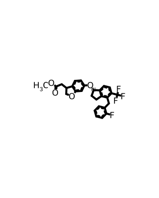 COC(=O)CC1COc2cc(O[C@@H]3CCc4c3ccc(C(F)(F)F)c4Cc3ccccc3F)ccc21